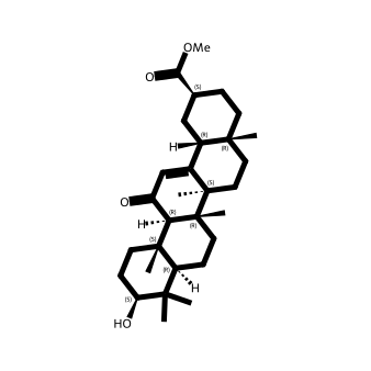 COC(=O)[C@H]1CC[C@]2(C)CC[C@]3(C)C(=CC(=O)[C@@H]4[C@@]5(C)CC[C@H](O)C(C)(C)[C@@H]5CC[C@]43C)[C@@H]2C1